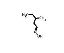 CCC(C)CC=NO